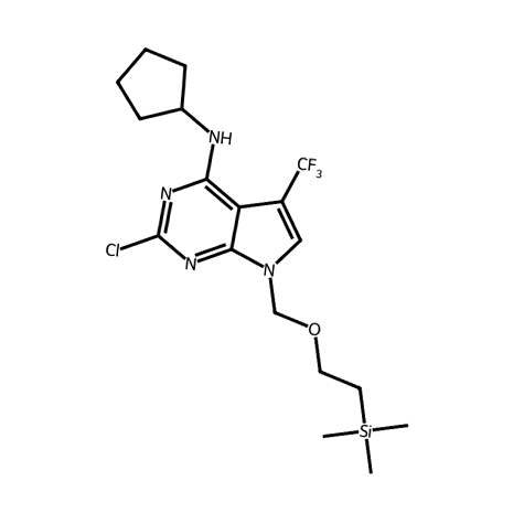 C[Si](C)(C)CCOCn1cc(C(F)(F)F)c2c(NC3CCCC3)nc(Cl)nc21